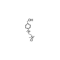 CO[Si](C)(C)CC[Si](C)(C)c1ccc(CO)cc1